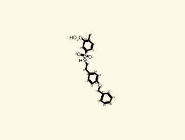 Cc1ccc(S(=O)(=O)NCCc2ccc(OCc3ccccc3)cc2)cc1C(=O)O